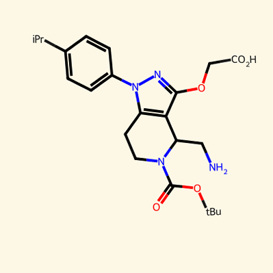 CC(C)c1ccc(-n2nc(OCC(=O)O)c3c2CCN(C(=O)OC(C)(C)C)C3CN)cc1